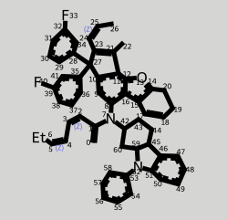 C=C(/C=C\C=C/CC)N(c1cc2c(c3oc4c(c13)C=CCC4)C(C)=C(/C=C\C)C2(c1cccc(F)c1)c1cccc(F)c1)C1CCC2c3ccccc3N(c3ccccc3)C2C1